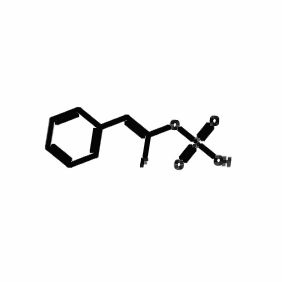 O=S(=O)(O)OC(F)=Cc1ccccc1